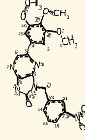 COc1cc(-c2cnc3c(n2)N(Cc2cccc([N+](=O)[O-])c2)C(=O)[N]3)cc(OC)c1OC